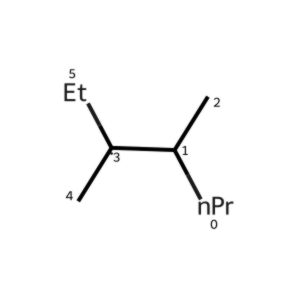 CCCC(C)[C](C)CC